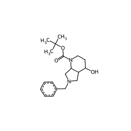 CC(C)(C)OC(=O)N1CCC(O)C2CN(Cc3ccccc3)CC21